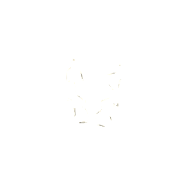 Brc1ccc(-c2[nH]c3ccccc3c2Cc2c(-c3ccc(Br)cc3)[nH]c3ccccc23)cc1